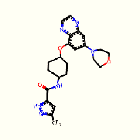 O=C(NC1CCC(Oc2cc(N3CCOCC3)cc3nccnc23)CC1)c1cc(C(F)(F)F)n[nH]1